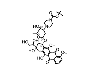 COc1cccc2c1C(=O)c1c(O)c3c(c(O)c1C2=O)C[C@@](O)(C(O)CO)C[C@@H]3O[C@H]1CC(N2CCN(C(=O)OC(C)(C)C)CC2)[C@H](O)[C@H](C)O1